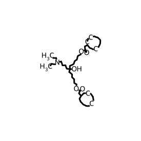 CCCN(CCC)CCCCC(O)(CCCCCCOC(=O)CC1CCCCCCCCCCC1)CCCCCCOC(=O)CC1CCCCCCCCCCC1